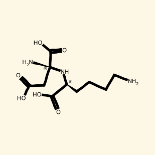 NCCCC[C@H](N[C@](N)(CC(=O)O)C(=O)O)C(=O)O